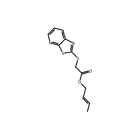 CC=CCOC(=O)CSc1nc2cccnc2s1